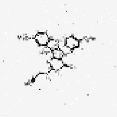 C#CCNc1nc2c(c(=O)[nH]1)[C@@H](CO)[C@]1(c3ccc(OC)cc3)Oc3ncc(OC)cc3[C@]21O